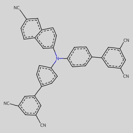 N#Cc1cc(C#N)cc(-c2ccc(N(c3ccc(-c4cc(C#N)cc(C#N)c4)cc3)c3ccc4cc(C#N)ccc4c3)cc2)c1